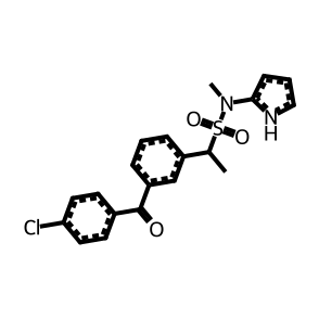 CC(c1cccc(C(=O)c2ccc(Cl)cc2)c1)S(=O)(=O)N(C)c1ccc[nH]1